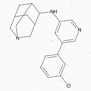 Clc1cccc(-c2cncc(NC3C4CC5CC3CN(C5)C4)c2)c1